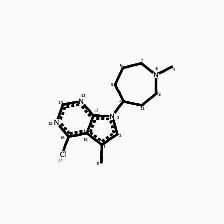 Cc1cn(C2CCCN(C)CC2)c2ncnc(Cl)c12